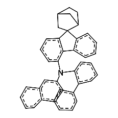 c1ccc(-c2ccccc2N(c2ccc3ccccc3c2)c2cccc3c2-c2ccccc2C32CC3CCC2C3)cc1